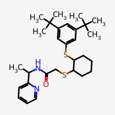 CC(NC(=O)CSC1CCCCC1Sc1cc(C(C)(C)C)cc(C(C)(C)C)c1)c1ccccn1